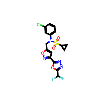 O=S(=O)(C1CC1)N(Cc1cc(-c2nnc(C(F)F)o2)no1)c1cccc(Cl)c1